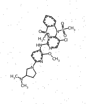 COc1nc(N2CCC(N(C)C)C2)ccc1Nc1ncc(Cl)c(N(c2ccccc2S(C)(=O)=O)S(C)(=O)=O)n1